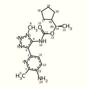 Cc1nc(-c2nnn(C)c2NC(=O)O[C@H](C)C2CCCC2)ccc1N